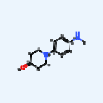 CNc1ccc(N2CCC(=O)CC2)cc1